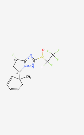 CC1([C@@H]2C[C@H](F)c3nc([S+]([O-])C(F)(F)C(F)(F)F)nn32)C=CC=CC1